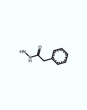 [NH]NC(=O)Cc1ccccc1